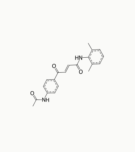 CC(=O)Nc1ccc(C(=O)C=CC(=O)Nc2c(C)cccc2C)cc1